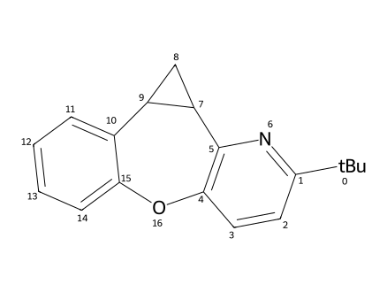 CC(C)(C)c1ccc2c(n1)C1CC1c1ccccc1O2